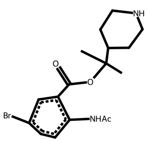 CC(=O)Nc1ccc(Br)cc1C(=O)OC(C)(C)C1CCNCC1